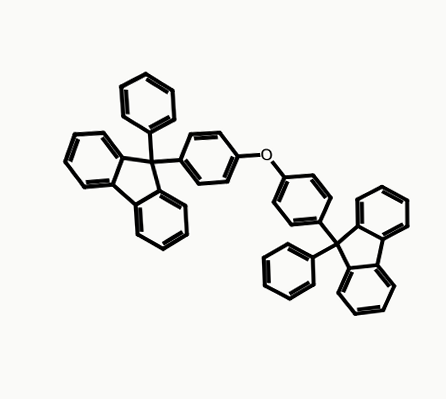 c1ccc(C2(c3ccc(Oc4ccc(C5(c6ccccc6)c6ccccc6-c6ccccc65)cc4)cc3)c3ccccc3-c3ccccc32)cc1